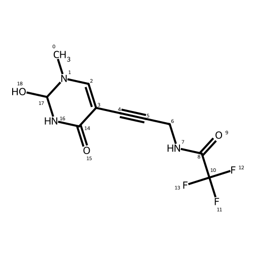 CN1C=C(C#CCNC(=O)C(F)(F)F)C(=O)NC1O